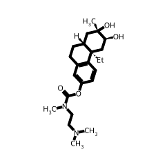 CC[C@@]12C[C@H](O)[C@@](C)(O)C[C@H]1CCc1cc(OC(=O)N(C)CCN(C)C)ccc12